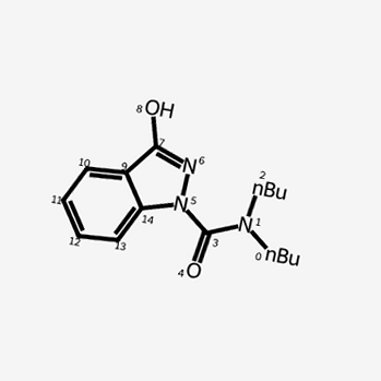 CCCCN(CCCC)C(=O)n1nc(O)c2ccccc21